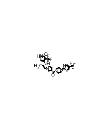 CC(CN1CC[C@H](C(=O)N2CCN(c3ncc(C(F)(F)F)cn3)CC2)C1)Nc1cn[nH]c(=O)c1C(F)(F)F